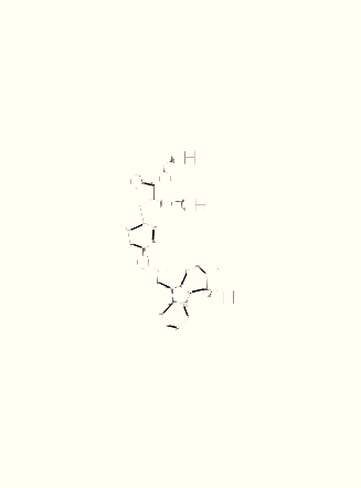 CCOC(=O)C(Cc1ccc(OCC=C2c3ccccc3-c3c(C)cccc32)cc1)OCC